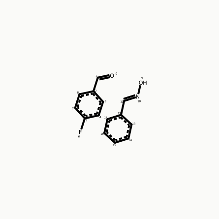 O=Cc1ccc(F)cc1.ON=Cc1ccccc1